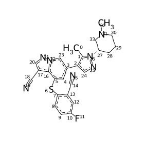 Cc1c(-c2cc(Sc3ccc(F)cc3C#N)c3c(C#N)cnn3c2)cnn1[C@H]1CCCN(C)C1